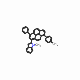 Cc1ccc(-c2ccc3ccc4c(-c5ccccc5)cc(-c5cc6ccccc6n5C)c5ccc2c3c45)cc1